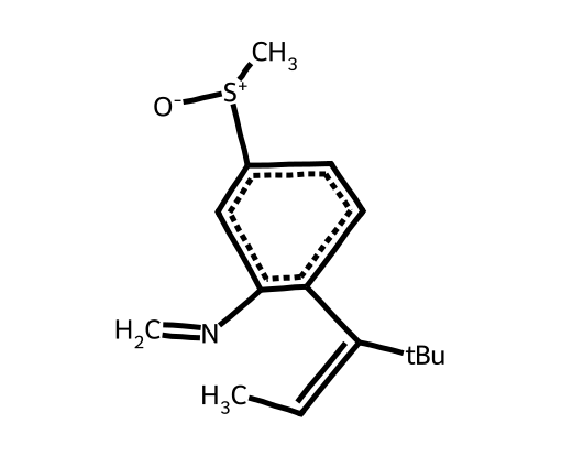 C=Nc1cc([S+](C)[O-])ccc1/C(=C\C)C(C)(C)C